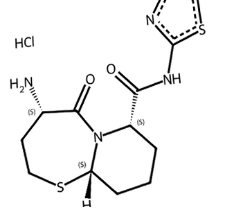 Cl.N[C@H]1CCS[C@H]2CCC[C@@H](C(=O)Nc3nccs3)N2C1=O